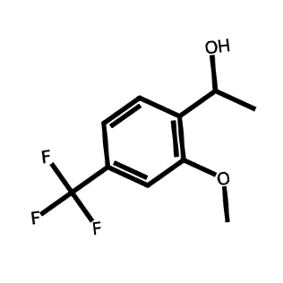 COc1cc(C(F)(F)F)ccc1C(C)O